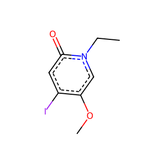 CCn1cc(OC)c(I)cc1=O